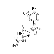 Cc1[nH]c(NC(=O)C(C)C)nc1[C@@H]1[C@@H](c2ccc(F)c(Cl)c2)C1(C)C